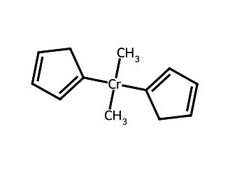 [CH3][Cr]([CH3])([C]1=CC=CC1)[C]1=CC=CC1